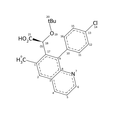 Cc1cc2cccnc2c(-c2ccc(Cl)cc2)c1[C@H](OC(C)(C)C)C(=O)O